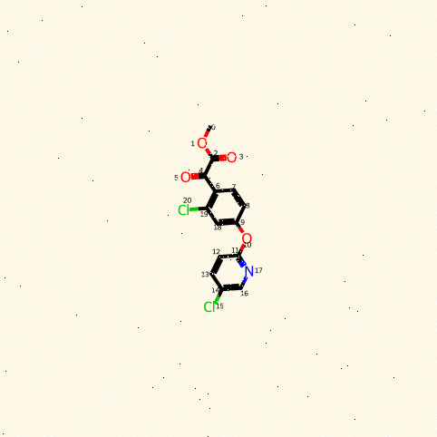 COC(=O)C(=O)c1ccc(Oc2ccc(Cl)cn2)cc1Cl